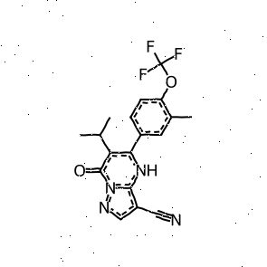 Cc1cc(-c2[nH]c3c(C#N)cnn3c(=O)c2C(C)C)ccc1OC(F)(F)F